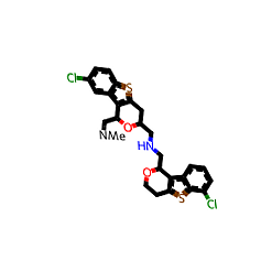 CNCC1OC(CNCC2OCCc3sc4c(Cl)cccc4c32)Cc2sc3ccc(Cl)cc3c21